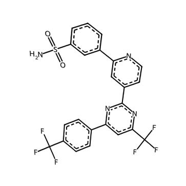 NS(=O)(=O)c1cccc(-c2cc(-c3nc(-c4ccc(C(F)(F)F)cc4)cc(C(F)(F)F)n3)ccn2)c1